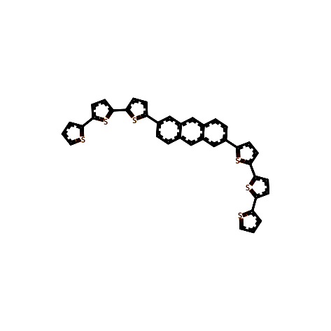 c1csc(-c2ccc(-c3ccc(-c4ccc5cc6cc(-c7ccc(-c8ccc(-c9cccs9)s8)s7)ccc6cc5c4)s3)s2)c1